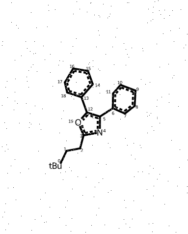 CC(C)(C)CCc1nc(-c2ccccc2)c(-c2ccccc2)o1